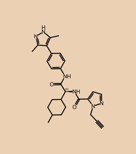 C#CCn1nccc1C(=O)N[C@H](C(=O)Nc1ccc(-c2c(C)n[nH]c2C)cc1)C1CCC(C)CC1